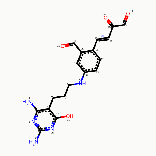 Nc1nc(N)c(CCCNc2ccc(/C=C/C(=O)C=O)c(C=O)c2)c(O)n1